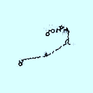 COc1cnc(-n2cnc(C(=O)NCCCN3CCN(CCOCCOCCOCCOCc4cn(CCOCCOCCOCCOCCC(=O)Oc5c(F)cc(F)cc5F)nn4)C(CO)C3)n2)c2[nH]cc(C(=O)C(=O)N3CCC(=C(C#N)c4ccccc4)CC3)c12